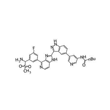 CCCCC(=O)Nc1cncc(-c2ccc3[nH]nc(-c4nc5c(-c6cc(F)cc(C(N)S(C)(=O)=O)c6)nccc5[nH]4)c3c2)c1